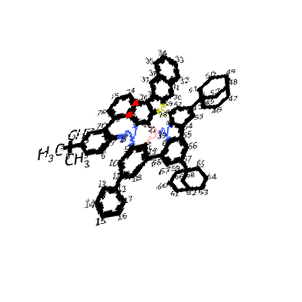 CC(C)(C)c1ccc(N2c3cc(-c4ccccc4)cc4c3B(c3c2ccc2c3sc3cc5ccccc5cc32)n2c3ccc(C56CCCC(CCC5)C6)cc3c3cc(C56CCCC(CCC5)C6)cc-4c32)c(-c2ccccc2)c1